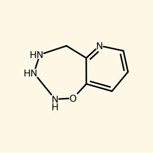 c1cnc2c(c1)ONNNC2